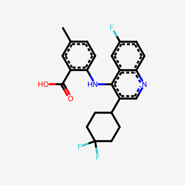 Cc1ccc(Nc2c(C3CCC(F)(F)CC3)cnc3ccc(F)cc23)c(C(=O)O)c1